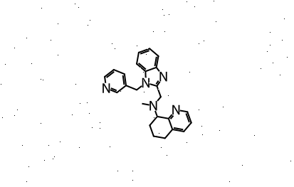 CN(Cc1nc2ccccc2n1Cc1cccnc1)C1CCCc2cccnc21